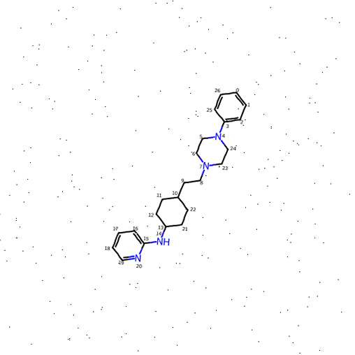 c1ccc(N2CCN(CCC3CCC(Nc4ccccn4)CC3)CC2)cc1